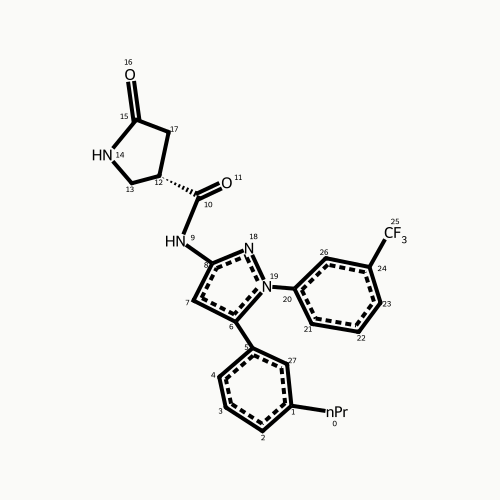 CCCc1cccc(-c2cc(NC(=O)[C@@H]3CNC(=O)C3)nn2-c2cccc(C(F)(F)F)c2)c1